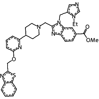 CCn1cncc1Cn1c(CN2CCC(c3cccc(OCc4nc5ccccc5s4)n3)CC2)nc2ccc(C(=O)OC)cc21